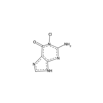 Nc1nc2[nH]cnc2c(=O)n1Cl